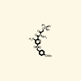 COc1ccc(CS(=O)(=O)c2cnc(C(=O)N(N)C(=O)CO[Si](C(C)C)(C(C)C)C(C)C)c(N)c2)cc1